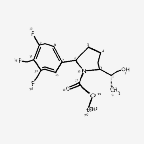 C[C@@H](O)C1CCC(c2cc(F)c(F)c(F)c2)N1C(=O)OC(C)(C)C